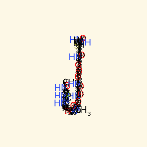 C=CC(=O)Nc1cccc(Nc2nc(Nc3ccc(Oc4ccnc(C(=O)N(C)CCOCCNC(=O)CCCC(=O)NCCCOCCOCCOCCCNC(=O)CCCCC5SC[C@@H]6NC(=O)N[C@H]56)c4)cc3)ncc2F)c1